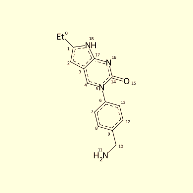 CCc1cc2cn(-c3ccc(CN)cc3)c(=O)nc2[nH]1